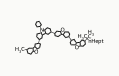 CCCCCCCC(C)(C)c1ccc2oc3ccc(-c4ccc5oc6cc(-c7ccc8c(c7)c7cc(-c9ccc%10oc%11ccc(C)cc%11c%10c9)ccc7n8-c7ccccc7)ccc6c5c4)cc3c2c1